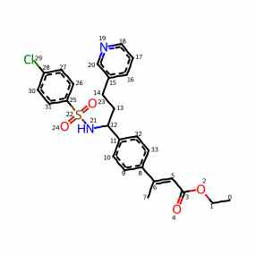 CCOC(=O)C=C(C)c1ccc(C(CCc2cccnc2)NS(=O)(=O)c2ccc(Cl)cc2)cc1